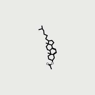 CC(=O)OC1CCC2(C)C(=CC=C3C2CCC2(C)C(CCCCC(C)C)CCC32)C1